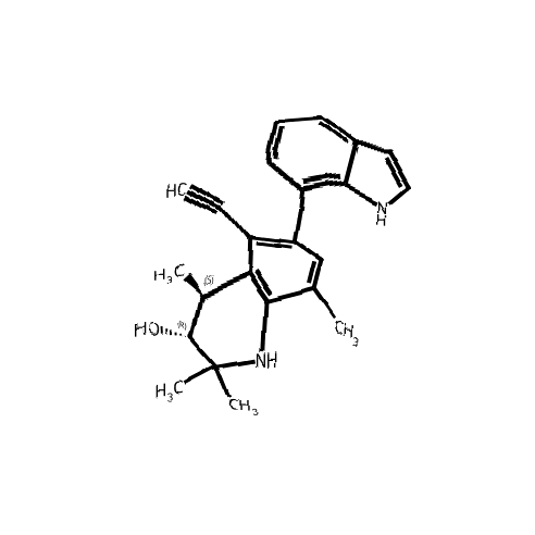 C#Cc1c(-c2cccc3cc[nH]c23)cc(C)c2c1[C@H](C)[C@@H](O)C(C)(C)N2